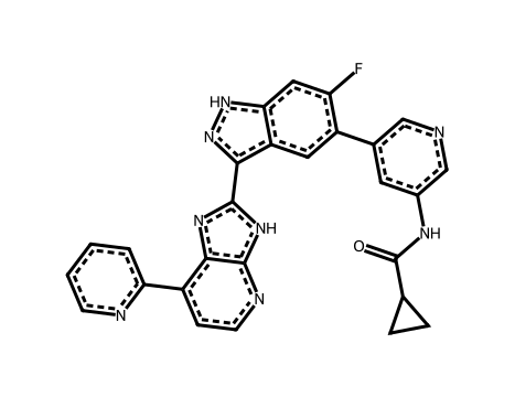 O=C(Nc1cncc(-c2cc3c(-c4nc5c(-c6ccccn6)ccnc5[nH]4)n[nH]c3cc2F)c1)C1CC1